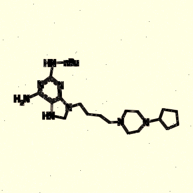 CCCCNc1nc(N)c2c(n1)N(CCCCN1CCN(C3CCCC3)CC1)CN2